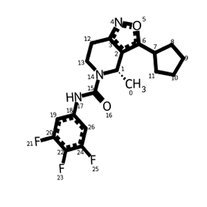 C[C@H]1c2c(noc2C2CCCC2)CCN1C(=O)Nc1cc(F)c(F)c(F)c1